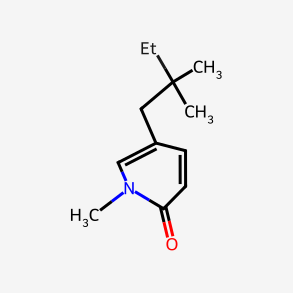 CCC(C)(C)Cc1ccc(=O)n(C)c1